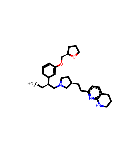 O=C(O)C[C@H](CN1CC[C@@H](CCc2ccc3c(n2)NCCC3)C1)C1C=C(OC[C@H]2CCCO2)C=CC1